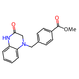 COC(=O)c1ccc(CN2CC(=O)Nc3ccccc32)cc1